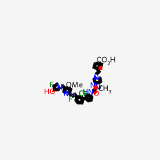 COc1cc(/C(F)=C/c2cccc(-c3cccc(NC(=O)c4nc5c(n4C)CCN(CCC46CCC(C(=O)O)(CC4)C6)C5)c3Cl)c2Cl)ncc1CN1C[C@@H](O)[C@H](F)C1